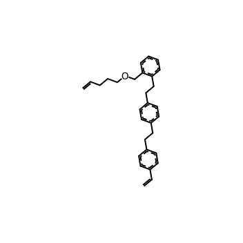 C=CCCCOCc1ccccc1CCc1ccc(CCc2ccc(C=C)cc2)cc1